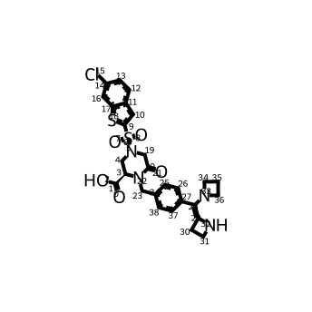 O=C(O)[C@H]1CN(S(=O)(=O)c2cc3ccc(Cl)cc3s2)CC(=O)N1Cc1ccc(/C(=C2\CCN2)N2CCC2)cc1